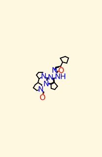 O=CN1CCCC(C2CCCN2c2nc3c(c(Nc4ncc(C5CCCC5)o4)n2)CCC3)C1